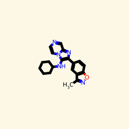 Cc1noc2ccc(-c3nc4cnccn4c3NC3CCCCC3)cc12